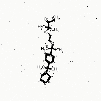 C=CC(=O)C(C)(C)OCCOC(C)(C)c1ccc(C(C)(C)c2ccccc2)cc1